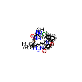 COc1nn(C)cc1C(=O)NSC[C@@H](C)C(CCCCCCN1C[C@@]2(CCCc3cc(Cl)ccc32)COc2ccc(C(N)=O)cc21)OC(C)=O